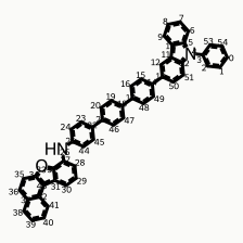 c1ccc(-n2c3ccccc3c3cc(-c4ccc(-c5ccc(-c6ccc(Nc7cccc8c7oc7ccc9ccccc9c78)cc6)cc5)cc4)ccc32)cc1